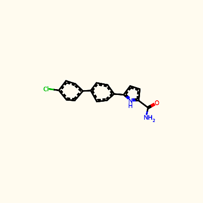 NC(=O)c1ccc(-c2ccc(-c3ccc(Cl)cc3)cc2)[nH]1